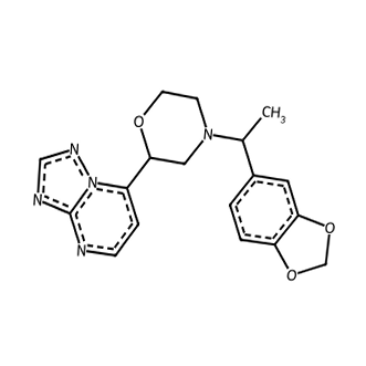 CC(c1ccc2c(c1)OCO2)N1CCOC(c2ccnc3ncnn23)C1